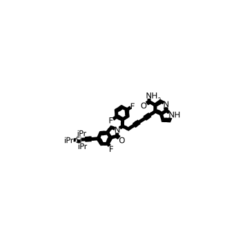 CC(C)[Si](C#Cc1cc(F)c2c(c1)CN(C(CC#CC#Cc1c(C(N)=O)cnc3[nH]ccc13)c1cc(F)ccc1F)C2=O)(C(C)C)C(C)C